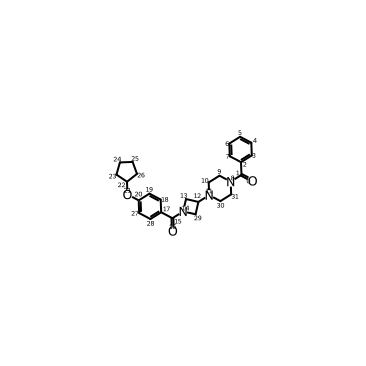 O=C(c1ccccc1)N1CCN(C2CN(C(=O)c3ccc(OC4CCCC4)cc3)C2)CC1